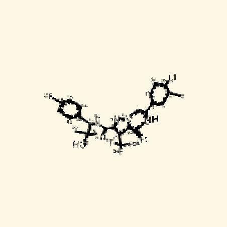 Cc1cc(-c2cn3nc(C(=O)NC(c4ccc(F)cc4)C(C)(C)O)c(C(F)(F)F)c3c(=O)[nH]2)ccc1Cl